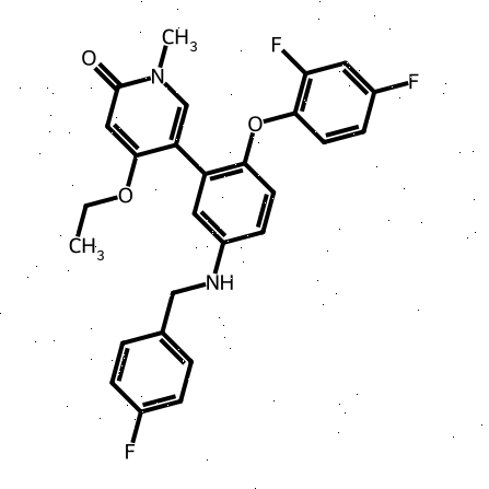 CCOc1cc(=O)n(C)cc1-c1cc(NCc2ccc(F)cc2)ccc1Oc1ccc(F)cc1F